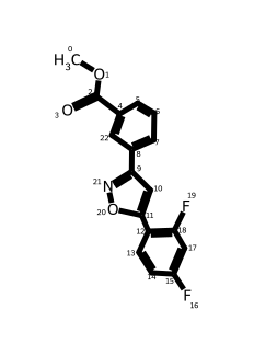 COC(=O)c1cccc(-c2cc(-c3ccc(F)cc3F)on2)c1